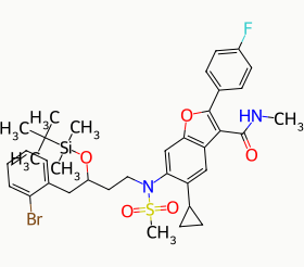 CNC(=O)c1c(-c2ccc(F)cc2)oc2cc(N(CCC(Cc3ccccc3Br)O[Si](C)(C)C(C)(C)C)S(C)(=O)=O)c(C3CC3)cc12